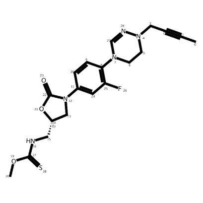 CC#CCN1CCN(c2ccc(N3C[C@H](CNC(=S)OC)OC3=O)cc2F)C=N1